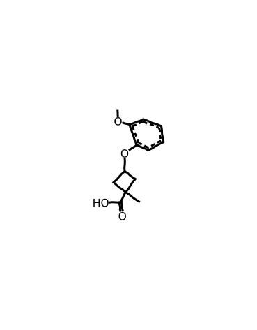 COc1ccccc1OC1CC(C)(C(=O)O)C1